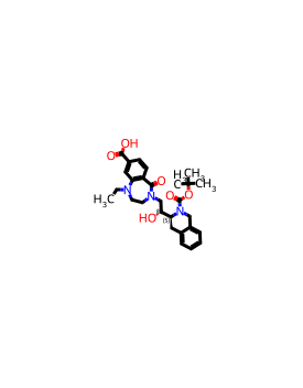 CCN1CCN(C[C@@H](O)[C@@H]2Cc3ccccc3CN2C(=O)OC(C)(C)C)C(=O)c2ccc(C(=O)O)cc21